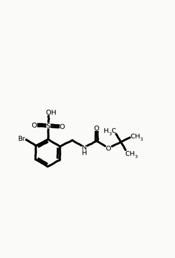 CC(C)(C)OC(=O)NCc1cccc(Br)c1S(=O)(=O)O